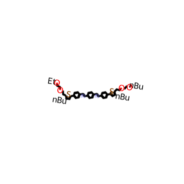 CCCCOCCOCCc1sc(-c2ccc(/C=C/c3ccc(/C=C/c4ccc(-c5cc(CCCC)c(CCOCCOCC)s5)cc4)cc3)cc2)cc1CCCC